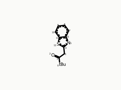 CC(C)(C)C(=O)Cc1nc2ccccc2s1